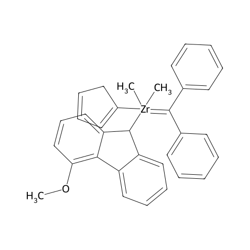 COc1cccc2c1-c1ccccc1[CH]2[Zr]([CH3])([CH3])([C]1=CC=CC1)=[C](c1ccccc1)c1ccccc1